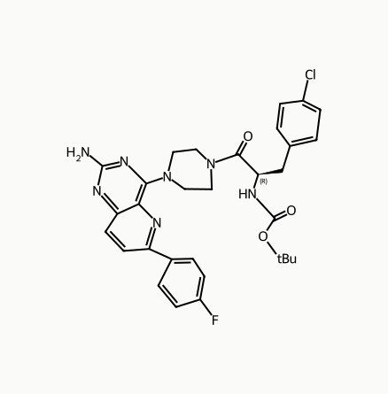 CC(C)(C)OC(=O)N[C@H](Cc1ccc(Cl)cc1)C(=O)N1CCN(c2nc(N)nc3ccc(-c4ccc(F)cc4)nc23)CC1